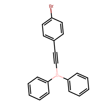 Brc1ccc(C#CB(c2ccccc2)c2ccccc2)cc1